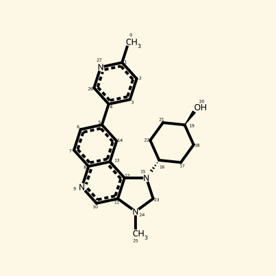 Cc1ccc(-c2ccc3ncc4c(c3c2)N([C@H]2CC[C@H](O)CC2)CN4C)cn1